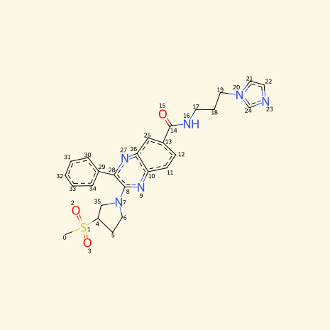 CS(=O)(=O)C1CCN(c2nc3ccc(C(=O)NCCCn4ccnc4)cc3nc2-c2ccccc2)C1